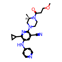 COCCC(=O)N1CCN(c2nc(C3CC3)c(Nc3ccncc3)cc2C#N)C[C@H]1C